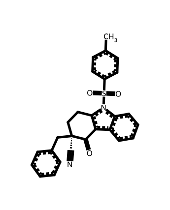 Cc1ccc(S(=O)(=O)n2c3c(c4ccccc42)C(=O)[C@@](C#N)(Cc2ccccc2)CC3)cc1